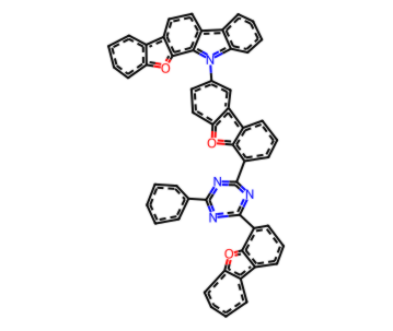 c1ccc(-c2nc(-c3cccc4c3oc3ccccc34)nc(-c3cccc4c3oc3ccc(-n5c6ccccc6c6ccc7c8ccccc8oc7c65)cc34)n2)cc1